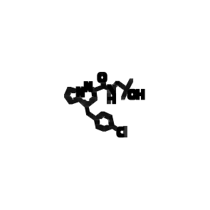 CC(C)(O)CNC(=O)c1cc(Cc2ccc(Cl)cc2)c2cccn2n1